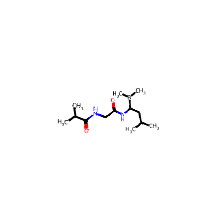 CB(C)C(CC(C)C)NC(=O)CNC(=O)C(C)C